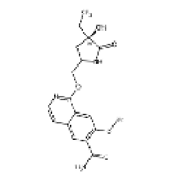 CC(C)Oc1cc2c(OCC3C[C@](O)(CC(F)(F)F)C(=O)N3)nccc2cc1C(N)=O